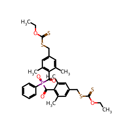 CCOC(=S)SCc1cc(C)c(C(=O)P(=O)(C(=O)c2c(C)cc(CSC(=S)OCC)cc2C)c2ccccc2)c(C)c1